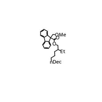 CCCCCCCCCCCCCC(CC)COC(=O)C1(COC)c2ccccc2-c2ccccc21